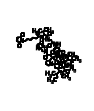 CCC(C)C(C(CC(=O)N1CCCC1C(OC)C(C)C(=O)NCc1nccs1)OC)N(C)C(=O)CNC(=O)C(C(C)C)N(C)C(=O)OCc1ccc(NC(=O)CNC(=O)C(NC(=O)CCCCCN2C(=O)C=CC2=O)C(C)C)cc1